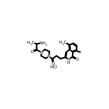 Cc1ccc(F)c2c(=O)[nH]c(CCC(=O)N3CCN(C(=O)C(C)N)CC3)cc12.Cl